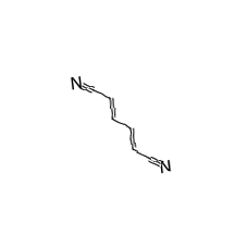 N#CC=C/C=C/C#N